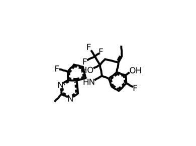 CC=C1CC(O)(C(F)(F)F)C(Nc2ccc(F)c3nc(C)ncc23)c2ccc(F)c(O)c21